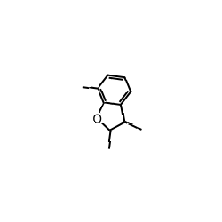 Cc1cccc2c1OC(C)C2C